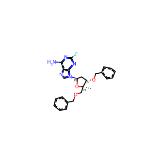 C[C@]1(COCc2ccccc2)O[C@@H](n2cnc3c(N)nc(F)nc32)C[C@@H]1OCc1ccccc1